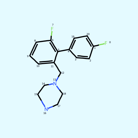 Fc1ccc(-c2c(F)cccc2CN2CC[N]CC2)cc1